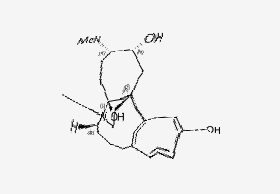 CN[C@H]1C[C@@]2(O)[C@H]3Cc4ccc(O)cc4[C@@]2(CCN3C)C[C@H]1O